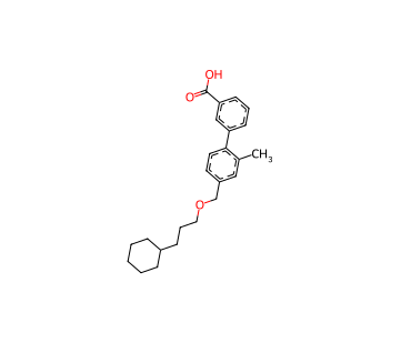 Cc1cc(COCCCC2CCCCC2)ccc1-c1cccc(C(=O)O)c1